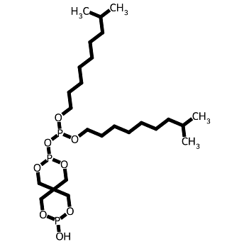 CC(C)CCCCCCCOP(OCCCCCCCC(C)C)OP1OCC2(COP(O)OC2)CO1